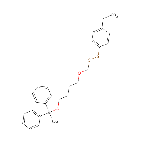 CC(C)(C)[Si](OCCCCOCSSc1ccc(CC(=O)O)cc1)(c1ccccc1)c1ccccc1